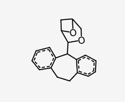 c1ccc2c(c1)CCc1ccccc1C2C1OCC2CC1O2